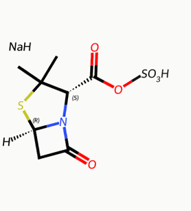 CC1(C)S[C@@H]2CC(=O)N2[C@H]1C(=O)OS(=O)(=O)O.[NaH]